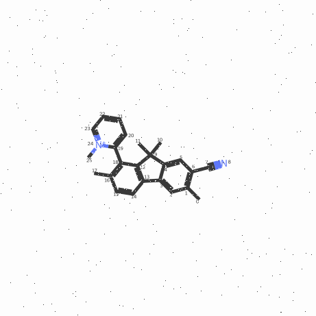 Cc1cc2c(cc1C#N)C(C)(C)c1c-2ccc(C)c1-c1cccc[n+]1C